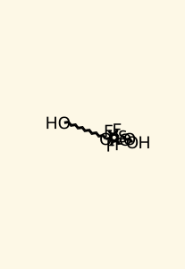 OCCCCCCCCCCCOc1c(F)c(F)c(SOOO)c(F)c1F